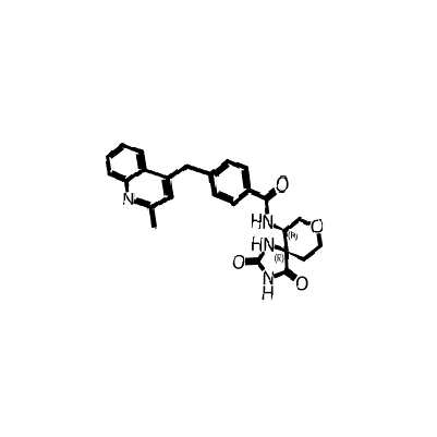 Cc1cc(Cc2ccc(C(=O)N[C@H]3COCC[C@@]34NC(=O)NC4=O)cc2)c2ccccc2n1